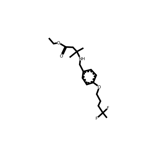 CCOC(=O)CC(C)(C)NCc1ccc(OCCCC(C)(F)F)cc1